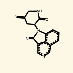 O=C1CNC(=O)C(N2C(=O)c3cncc4cccc2c34)C1